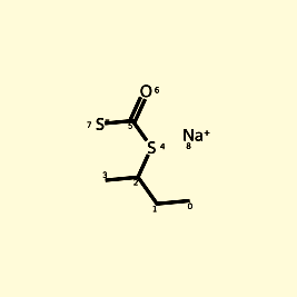 CCC(C)SC(=O)[S-].[Na+]